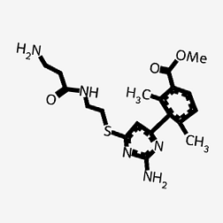 COC(=O)c1ccc(C)c(-c2cc(SCCNC(=O)CCN)nc(N)n2)c1C